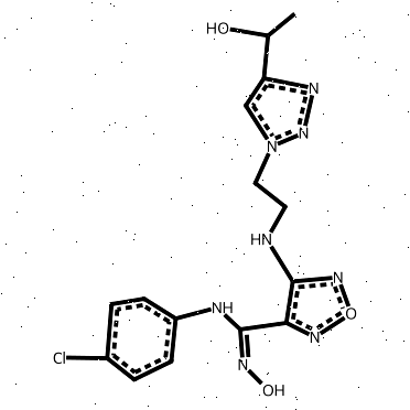 CC(O)c1cn(CCNc2nonc2C(=NO)Nc2ccc(Cl)cc2)nn1